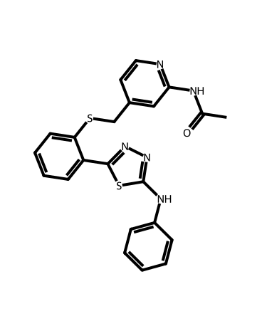 CC(=O)Nc1cc(CSc2ccccc2-c2nnc(Nc3ccccc3)s2)ccn1